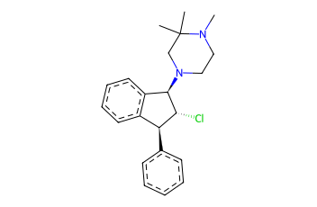 CN1CCN([C@@H]2c3ccccc3[C@H](c3ccccc3)[C@H]2Cl)CC1(C)C